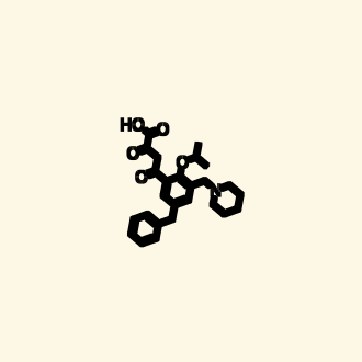 CC(C)Oc1c(CN2CCCCC2)cc(Cc2ccccc2)cc1C(=O)CC(=O)C(=O)O